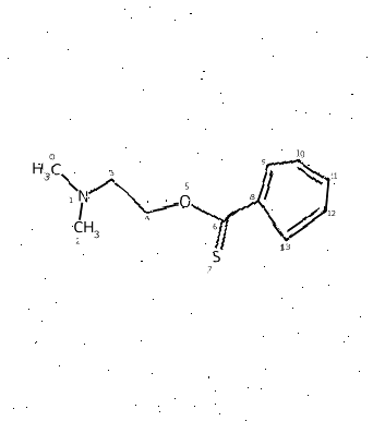 CN(C)CCOC(=S)c1ccccc1